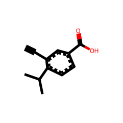 C#Cc1cc(C(=O)O)ccc1C(C)C